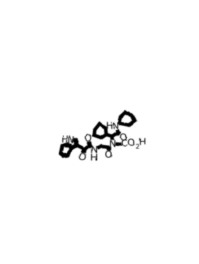 O=C(O)CN(C(=O)CNC(=O)C(=O)c1c[nH]c2ccccc12)C(C(=O)NC1CCCCC1)C1CCCCC1